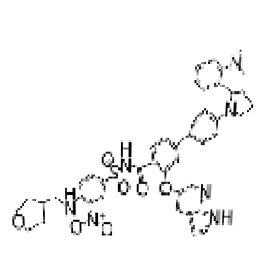 CN(C)c1ccccc1C1CCCN1c1ccc(-c2ccc(C(=O)NS(=O)(=O)c3ccc(NCC4CCOCC4)c([N+](=O)[O-])c3)c(Oc3cnc4[nH]ccc4c3)c2)cc1